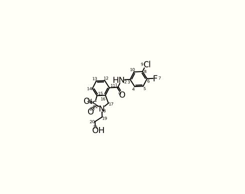 O=C(Nc1ccc(F)c(Cl)c1)c1cccc2c1CN(CCO)S2(=O)=O